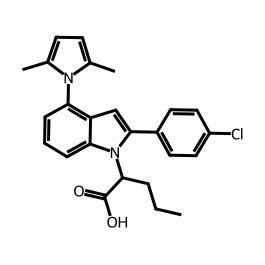 CCCC(C(=O)O)n1c(-c2ccc(Cl)cc2)cc2c(-n3c(C)ccc3C)cccc21